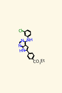 CCOC(=O)c1ccc(-c2cc3c(Nc4cccc(Cl)c4)ncnc3[nH]2)cc1